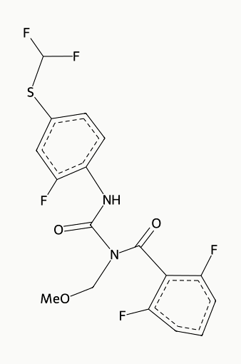 COCN(C(=O)Nc1ccc(SC(F)F)cc1F)C(=O)c1c(F)cccc1F